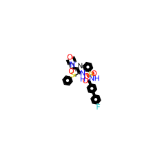 O=C(NS(=O)(=O)c1cccc([N+](=O)[O-])c1N[C@H](CSc1ccccc1)CC(=O)N1CCOCC1)c1ccc(-c2ccc(F)cc2)cc1